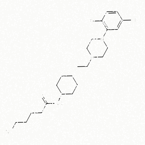 N#CCCCCC(=O)N[C@H]1CC[C@H](CCN2CCN(c3cc(C(F)(F)F)ccc3F)CC2)CC1